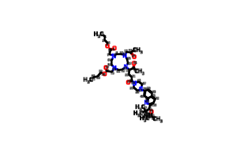 CCCCOC(=O)CN1CCN(CC(C)=O)CCN(C(CCC(=O)N2CCN(c3ccc4ccc(C(O[SiH](C)C)C(C)(C)C)nc4c3)CC2)C(C)=O)CCN(CC(=O)OCCCC)CC1